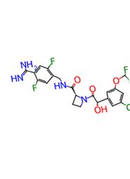 N=C(N)c1cc(F)c(CNC(=O)[C@@H]2CCN2C(=O)[C@H](O)c2cc(Cl)cc(OC(F)F)c2)cc1F